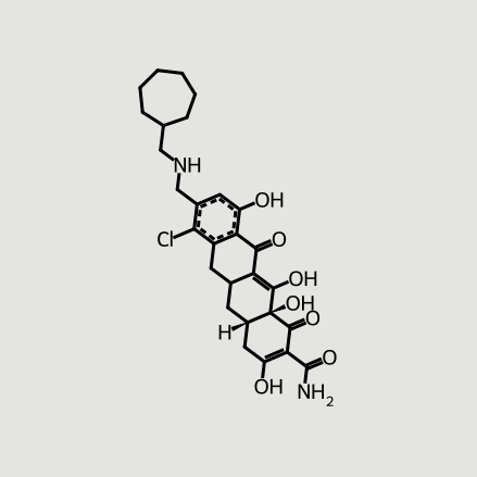 NC(=O)C1=C(O)C[C@@H]2CC3Cc4c(Cl)c(CNCC5CCCCCC5)cc(O)c4C(=O)C3=C(O)[C@]2(O)C1=O